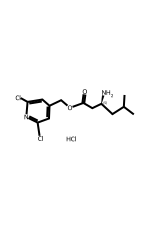 CC(C)C[C@H](N)CC(=O)OCc1cc(Cl)nc(Cl)c1.Cl